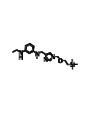 CCNc1cccc(N(C)Cc2cn(COCC[Si](C)(C)C)cn2)c1